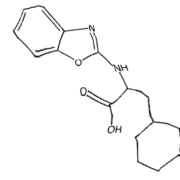 O=C(O)C(CC1CCCCC1)Nc1nc2ccccc2o1